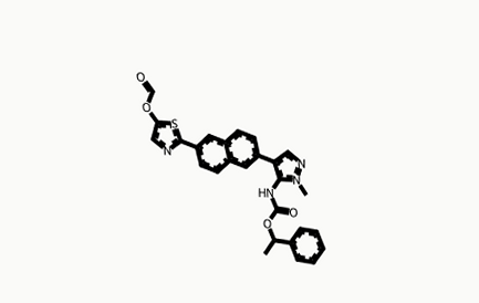 CC(OC(=O)Nc1c(-c2ccc3cc(-c4ncc(OC=O)s4)ccc3c2)cnn1C)c1ccccc1